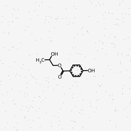 CC(O)COC(=O)c1ccc(O)cc1